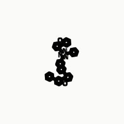 c1ccc(-c2ccc3oc4cccc(-c5ccc6ccc(-c7nc(-c8ccccc8)nc(-c8cccc9oc%10ccccc%10c89)n7)cc6c5)c4c3c2)cc1